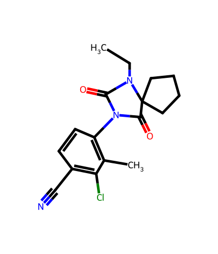 CCN1C(=O)N(c2ccc(C#N)c(Cl)c2C)C(=O)C12CCCC2